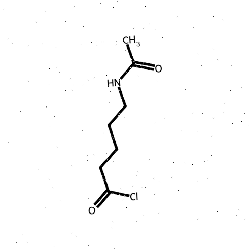 CC(=O)NCCCCC(=O)Cl